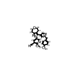 COc1ccc(Cn2cc(-c3c4c(nn3-c3cnc(OC)c(C#N)c3)CCOCC4)cn2)cc1